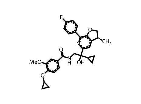 COc1cc(C(=O)NCC(O)(c2cc3c(c(-c4ccc(F)cc4)n2)OC[C@H]3C)C2CC2)ccc1OC1CC1